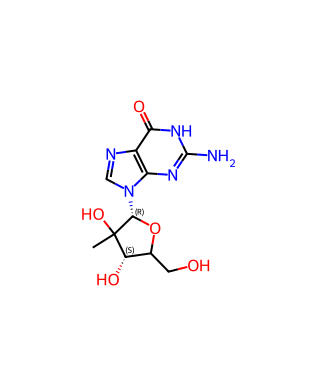 CC1(O)[C@@H](O)C(CO)O[C@H]1n1cnc2c(=O)[nH]c(N)nc21